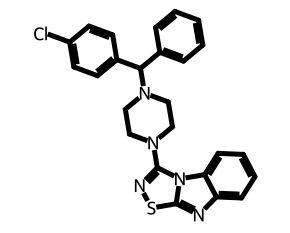 Clc1ccc(C(c2ccccc2)N2CCN(c3nsc4nc5ccccc5n34)CC2)cc1